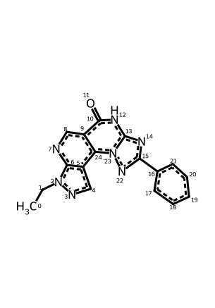 CCn1ncc2c1ncc1c(=O)[nH]c3nc(-c4ccccc4)nn3c12